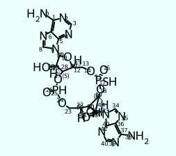 Nc1ncnc2c1ncn2[C@@H]1O[C@@H]2COP(=O)(S)O[C@@H]3[C@H](O)[C@@H](CO[PH](=O)O[C@H]2[C@H]1O)O[C@H]3n1cnc2c(N)ncnc21